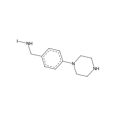 INCc1ccc(N2CCNCC2)cc1